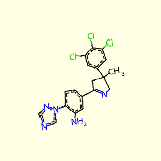 CC1(c2cc(Cl)c(Cl)c(Cl)c2)CN=C(c2ccc(-n3cncn3)c(N)c2)C1